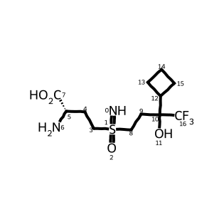 N=S(=O)(CC[C@H](N)C(=O)O)CCC(O)(C1CCC1)C(F)(F)F